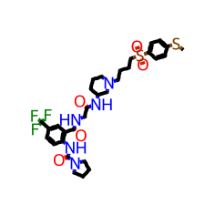 CSc1ccc(S(=O)(=O)CCCCN2CCCC(NC(=O)CNC(=O)c3cc(C(F)(F)F)ccc3NC(=O)N3CCCC3)C2)cc1